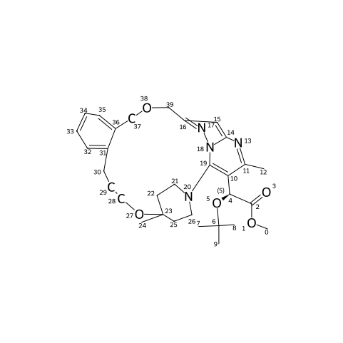 COC(=O)[C@@H](OC(C)(C)C)c1c(C)nc2cc3nn2c1N1CCC(C)(CC1)OCCCc1ccccc1COC3